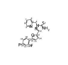 NC(=S)N(Cc1ccccn1)N=Cc1ccc(-c2ccc(F)cc2F)o1